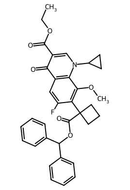 CCOC(=O)c1cn(C2CC2)c2c(OC)c(C3(C(=O)OC(c4ccccc4)c4ccccc4)CCC3)c(F)cc2c1=O